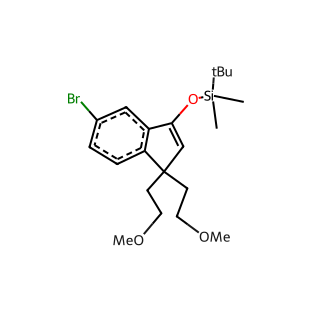 COCCC1(CCOC)C=C(O[Si](C)(C)C(C)(C)C)c2cc(Br)ccc21